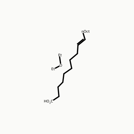 CCCCCCCCC=CCCCCCCCC(=O)O.CCOCC